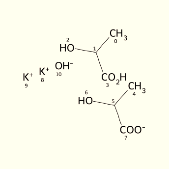 CC(O)C(=O)O.CC(O)C(=O)[O-].[K+].[K+].[OH-]